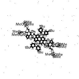 CO[Si](COCCN(CCOC[Si](OC)(OC)OC)C(=O)C(C1CCCC1)N1C(=O)c2cc(Oc3ccc(C(C)(C)C)cc3)c3c4c(Oc5ccc(C(C)(C)C)cc5)cc5c6c(cc(Oc7ccc(C(C)(C)C)cc7)c(c7c(Oc8ccc(C(C)(C)C)cc8)cc(c2c37)C1=O)c64)C(=O)N(C(C(=O)N(CCOC[Si](OC)(OC)OC)CCOC[Si](OC)(OC)OC)C1CCCC1)C5=O)(OC)OC